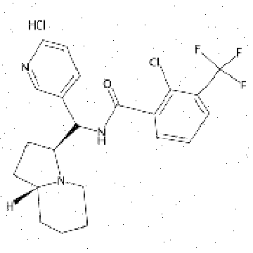 Cl.O=C(NC(c1cccnc1)[C@@H]1CC[C@H]2CCCCN21)c1cccc(C(F)(F)F)c1Cl